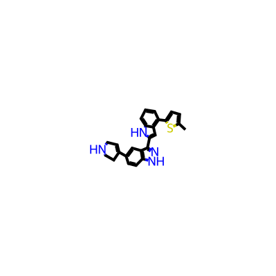 Cc1ccc(-c2cccc3[nH]c(-c4n[nH]c5ccc(C6=CCNCC6)cc45)cc23)s1